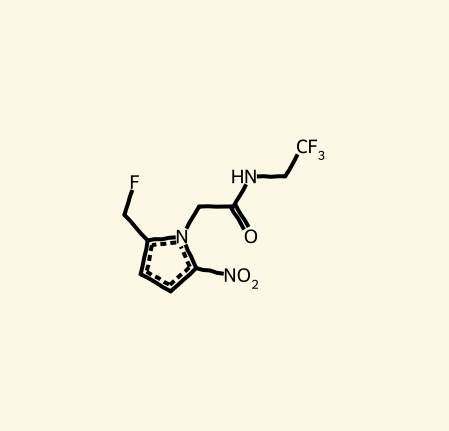 O=C(Cn1c(CF)ccc1[N+](=O)[O-])NCC(F)(F)F